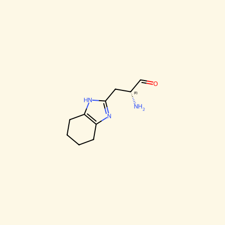 N[C@@H](C=O)Cc1nc2c([nH]1)CCCC2